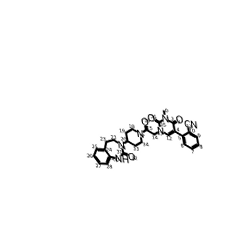 Cn1c(=O)c(-c2ccccc2C#N)cn(CC(=O)N2CCC(N3CCc4ccccc4NC3=O)CC2)c1=O